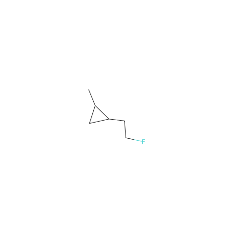 CC1CC1CCF